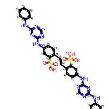 O=S(=O)(O)c1cc(Nc2ncnc(Nc3ccccc3)n2)ccc1/C=C/c1ccc(Nc2ncnc(Nc3ccccc3)n2)cc1S(=O)(=O)O